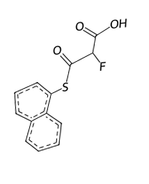 O=C(O)C(F)C(=O)Sc1cccc2ccccc12